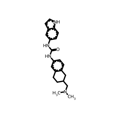 CN(C)CC1CCc2cc(NC(=O)Nc3ccc4[nH]ccc4c3)ccc2C1